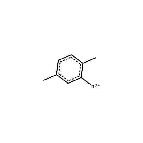 CCCc1cc(C)ccc1C